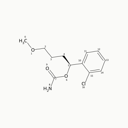 COCCC[C@H](OC(N)=O)c1ccccc1Cl